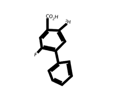 [2H]c1cc(-c2ccccc2)c(F)cc1C(=O)O